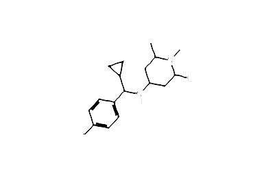 CCC1CC(NC(c2ccc(Cl)cc2)C2CC2)CC(C)N1C